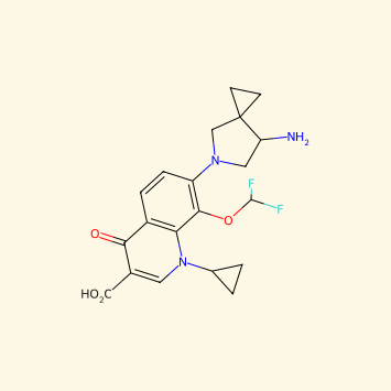 NC1CN(c2ccc3c(=O)c(C(=O)O)cn(C4CC4)c3c2OC(F)F)CC12CC2